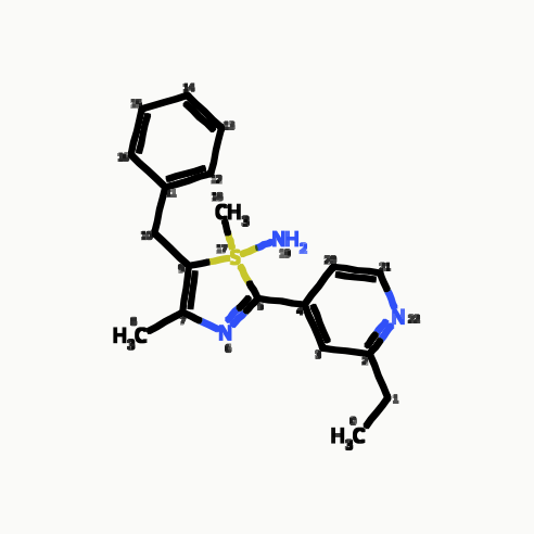 CCc1cc(C2=NC(C)=C(Cc3ccccc3)S2(C)N)ccn1